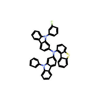 Fc1cccc(-n2c3ccccc3c3ccc(N(c4ccc5c6ccccc6n(-c6ccccc6)c5c4)c4cccc5sc6ccccc6c45)cc32)c1